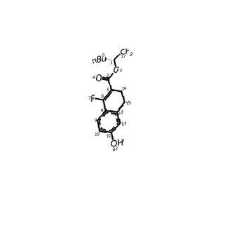 CCCC[C@@H](OC(=O)C1=C(F)c2ccc(O)cc2CC1)C(F)(F)F